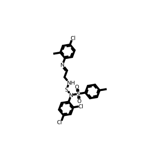 Cc1ccc(S(=O)(=O)N(SNCC=Nc2ccc(Cl)cc2C)c2ccc(Cl)cc2Cl)cc1